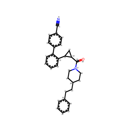 N#Cc1ccc(-c2ccccc2C2CC2C(=O)N2CCC(CCc3ccccc3)CC2)cc1